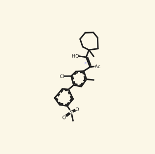 CC(=O)/C(=C(/O)C1(C)CCCCCC1)c1cc(Cl)c(-c2cccc(S(C)(=O)=O)c2)cc1C